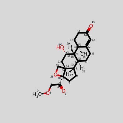 COCC(=O)[C@@]12CC[C@H]3[C@@H]4CCC5=CC(=O)CC[C@]5(C)[C@H]4[C@@H](O)C[C@@]31CO2